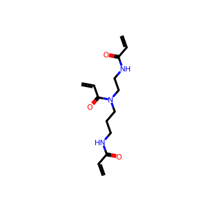 C=CC(=O)NCCCN(CCNC(=O)C=C)C(=O)C=C